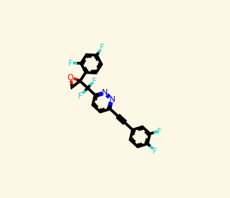 Fc1ccc(C2(C(F)(F)c3ccc(C#Cc4ccc(F)c(F)c4)nn3)CO2)c(F)c1